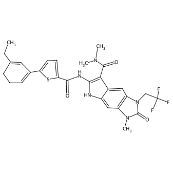 CCC1=CC(c2ccc(C(=O)Nc3[nH]c4cc5c(cc4c3C(=O)N(C)C)n(CC(F)(F)F)c(=O)n5C)s2)=CCC1